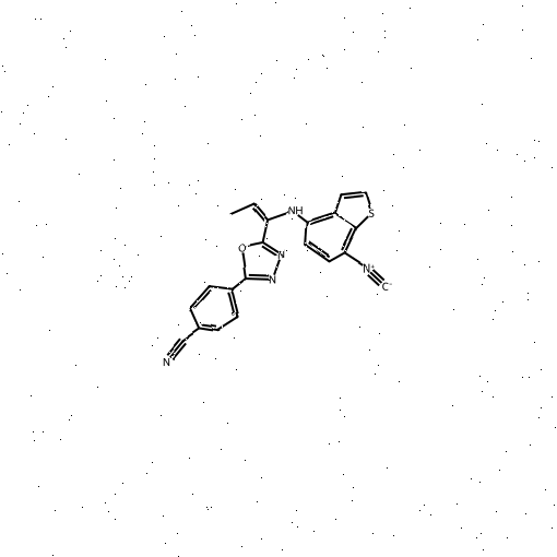 [C-]#[N+]c1ccc(NC(=CC)c2nnc(-c3ccc(C#N)cc3)o2)c2ccsc12